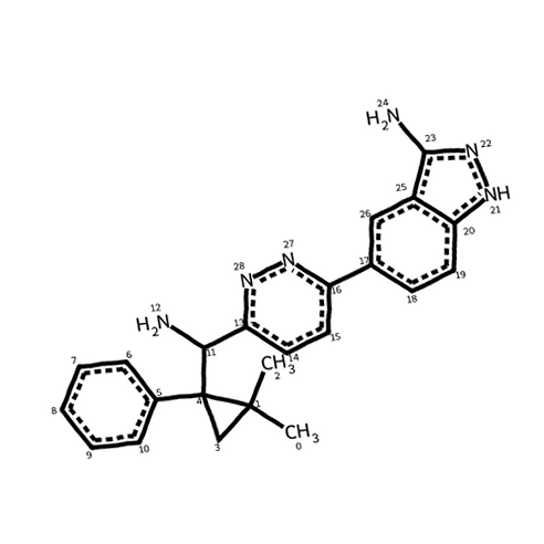 CC1(C)CC1(c1ccccc1)C(N)c1ccc(-c2ccc3[nH]nc(N)c3c2)nn1